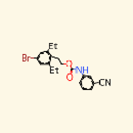 CCc1cc(Br)cc(CC)c1CCOC(=O)Nc1cccc(C#N)c1